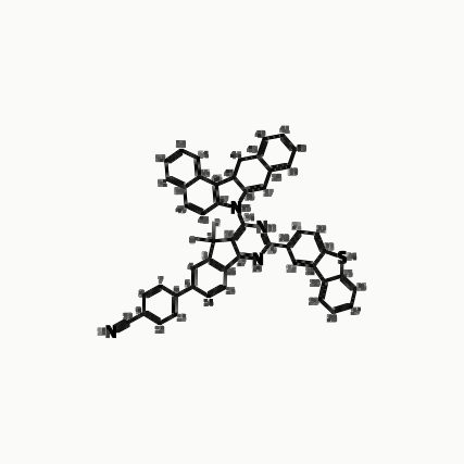 CC1(C)c2cc(-c3ccc(C#N)cc3)ccc2-c2nc(-c3ccc4sc5ccccc5c4c3)nc(N3C4=Cc5ccccc5CC4c4c3ccc3ccccc43)c21